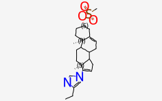 CCc1cn(C2=CCC3C4CC=C5C[C@@H](OS(C)(=O)=O)CC[C@]5(C)C4CC[C@]23C)cn1